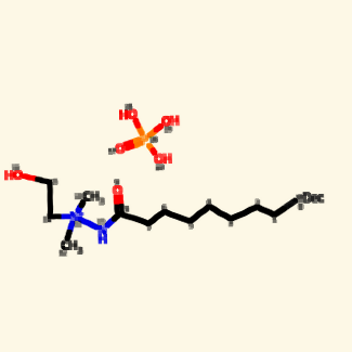 CCCCCCCCCCCCCCCCCC(=O)N[N+](C)(C)CCO.O=P(O)(O)O